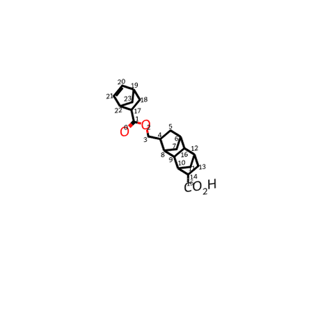 O=C(OCC1CC2CC1C1C3CC(CC3C(=O)O)C21)C1CC2C=CC1C2